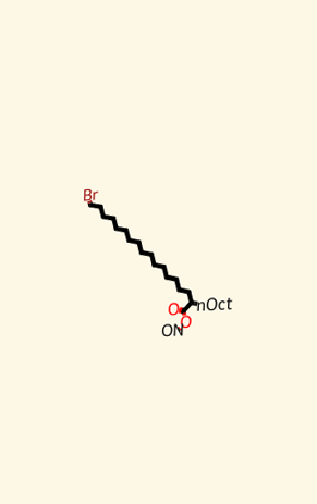 CCCCCCCCC(CCCCCCCCCCCCCCCCBr)C(=O)ON=O